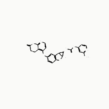 COc1cc(NC(=O)N[C@H]2C3c4cc(Oc5ccnc6c5CCC(=O)N6)ccc4O[C@@H]32)ccn1